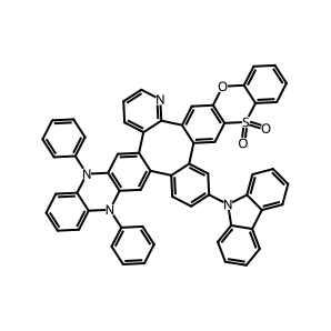 O=S1(=O)c2ccccc2Oc2cc3c(cc21)c1cc(-n2c4ccccc4c4ccccc42)ccc1c1cc2c(cc1c1cccnc13)n(-c1ccccc1)c1ccccc1n2-c1ccccc1